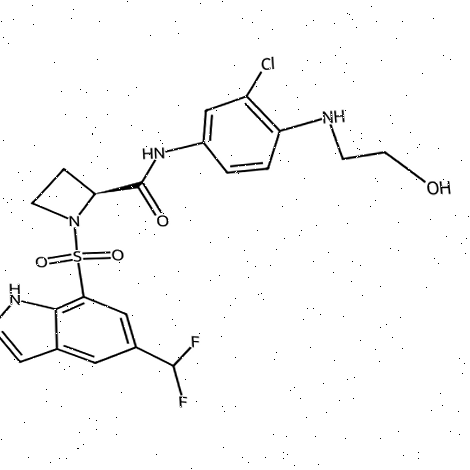 O=C(Nc1ccc(NCCO)c(Cl)c1)[C@@H]1CCN1S(=O)(=O)c1cc(C(F)F)cc2cn[nH]c12